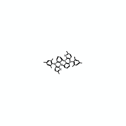 Cc1cc(C)c(B2c3ccc(C)nc3N3c4cccc5c4N(c4cccc2c43)c2nc(C)ccc2B5c2c(C)cc(C)cc2C)c(C)c1